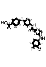 O=C(O)c1ccc(Oc2ccc(NC(=O)c3nnc(Nc4ccc(F)c(Cl)c4)o3)cn2)cc1